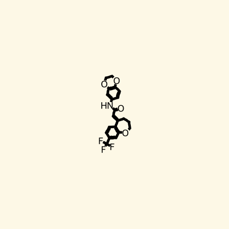 O=C(/C=C1\CCCOc2cc(C(F)(F)F)ccc21)Nc1ccc2c(c1)OCCO2